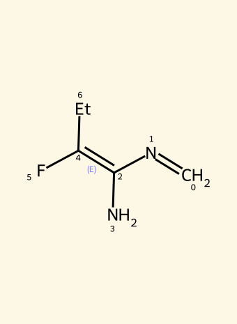 C=N/C(N)=C(/F)CC